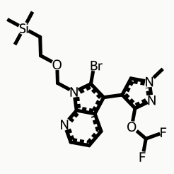 Cn1cc(-c2c(Br)n(COCC[Si](C)(C)C)c3ncccc23)c(OC(F)F)n1